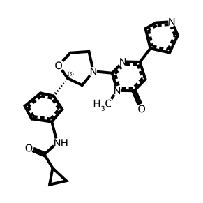 Cn1c(N2CCO[C@@H](c3cccc(NC(=O)C4CC4)c3)C2)nc(-c2ccncc2)cc1=O